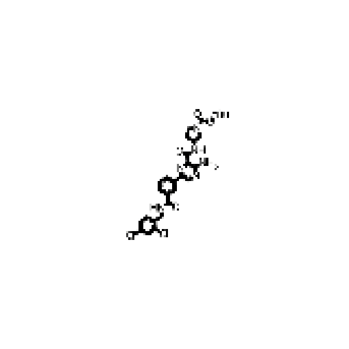 CC(C)(C)OC(=O)N1CC[C@H](NC(=O)c2nc(-c3cccc(C(=O)NCc4ccc(Cl)cc4Cl)c3)cnc2N)C1